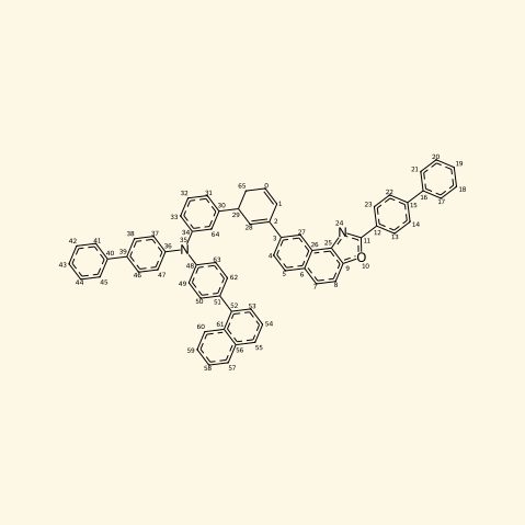 C1=CC(c2ccc3ccc4oc(-c5ccc(-c6ccccc6)cc5)nc4c3c2)=CC(c2cccc(N(c3ccc(-c4ccccc4)cc3)c3ccc(-c4cccc5ccccc45)cc3)c2)C1